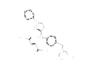 CCN(CC)Cc1ccc(NC2=NN(c3ccccc3)CC2)cc1.O=C(O)C=CC(=O)O